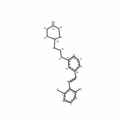 Cc1cccc(C)c1C=Cc1cccc(CCCN2CCNCC2)c1